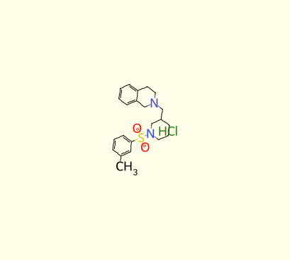 Cc1cccc(S(=O)(=O)N2CCCC(CN3CCc4ccccc4C3)C2)c1.Cl